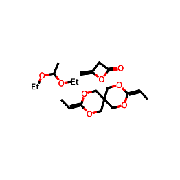 C=C1CC(=O)O1.CC=C1OCC2(CO1)COC(=CC)OC2.CCOC(C)OCC